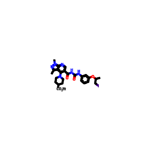 CCOC(=O)C1CCN(c2c(C(=O)NC(=O)Nc3cccc(OC(C)CI)c3)cnc3c2c(C)nn3C)CC1